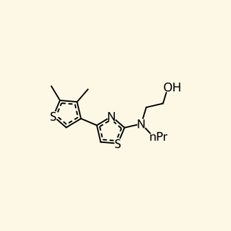 CCCN(CCO)c1nc(-c2csc(C)c2C)cs1